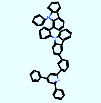 c1ccc(-c2cc(-c3ccccc3)nc(-c3cccc(-c4ccc5c(c4)c4ccccc4n5-c4ccccc4-c4cccc5c6ccccc6n(-c6ccccc6)c45)c3)c2)cc1